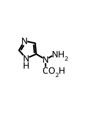 NN(C(=O)O)c1cnc[nH]1